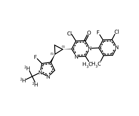 [2H]C([2H])([2H])n1ncc([C@H]2C[C@@H]2c2nc(C)n(-c3c(C)cnc(Cl)c3F)c(=O)c2Cl)c1F